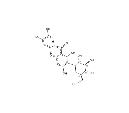 O=c1c2cc(O)c(O)cc2oc2cc(O)c(C3C[C@H](CO)[C@@H](O)[C@H](O)[C@H]3O)c(O)c12